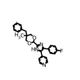 CC1(Cc2c[c]ccc2)COC(c2nc(-c3ccc(F)cc3)c(-c3ccncc3)[nH]2)OC1